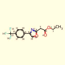 CCOC(=O)Cc1nc(-c2ccc(C(F)(F)F)cc2)co1